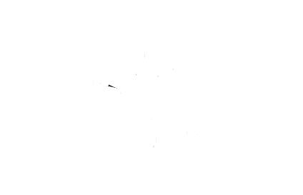 CCCCOC1C(C)O[C@@H](O)C(O)C1OCCCC